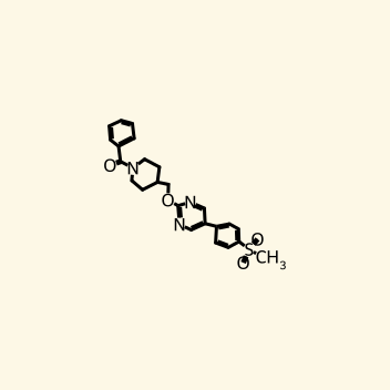 CS(=O)(=O)c1ccc(-c2cnc(OCC3CCN(C(=O)c4ccccc4)CC3)nc2)cc1